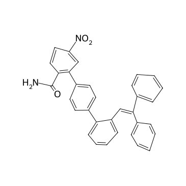 NC(=O)c1ccc([N+](=O)[O-])cc1-c1ccc(-c2ccccc2C=C(c2ccccc2)c2ccccc2)cc1